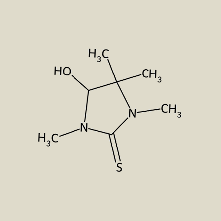 CN1C(=S)N(C)C(C)(C)C1O